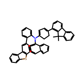 CC1(C)c2ccccc2-c2cccc(C3=CC=C(N(c4ccccc4-c4c#cc5sc6ccccc6c5c4)c4cccc5ccccc45)CC3)c21